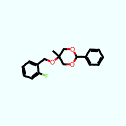 CC1(OCc2ccccc2F)COC(c2ccccc2)OC1